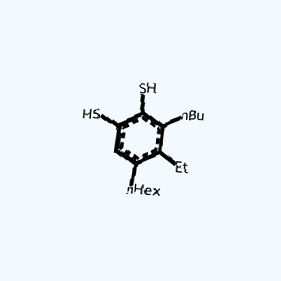 CCCCCCc1cc(S)c(S)c(CCCC)c1CC